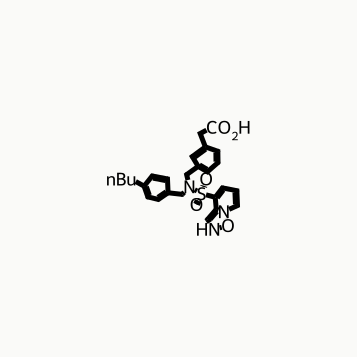 CCCCc1ccc(CN(Cc2cccc(CC(=O)O)c2)S(=O)(=O)C2=CC=CN3ONC=C23)cc1